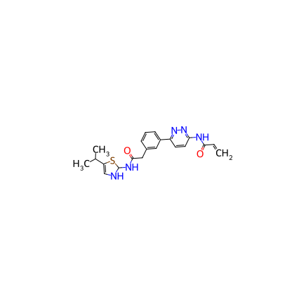 C=CC(=O)Nc1ccc(-c2cccc(CC(=O)NC3NC=C(C(C)C)S3)c2)nn1